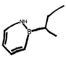 CCC(C)B1C=CC=CN1